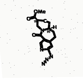 COC(=O)[C@H]1CC[C@H]2CCc3cc(N=[N+]=[N-])ncc3C(=O)N2C1